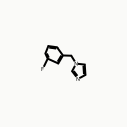 Fc1cc[c]c(Cn2ccnc2)c1